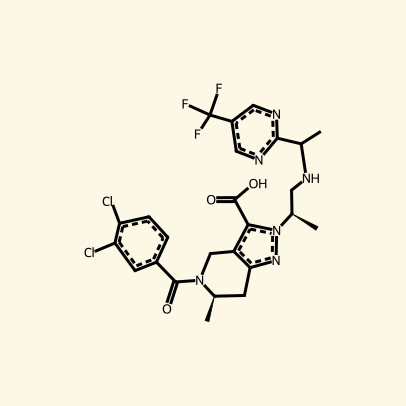 CC(NC[C@@H](C)n1nc2c(c1C(=O)O)CN(C(=O)c1ccc(Cl)c(Cl)c1)[C@H](C)C2)c1ncc(C(F)(F)F)cn1